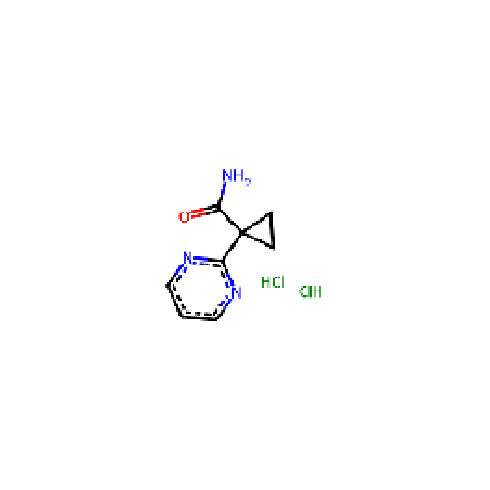 Cl.Cl.NC(=O)C1(c2ncccn2)CC1